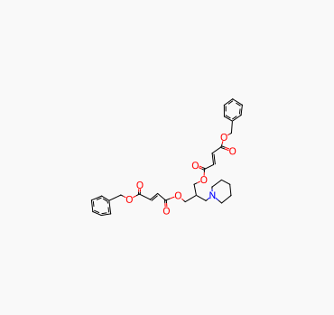 O=C(/C=C/C(=O)OCC(COC(=O)/C=C/C(=O)OCc1ccccc1)CN1CCCCC1)OCc1ccccc1